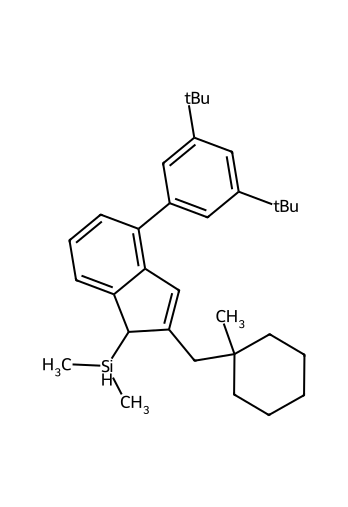 C[SiH](C)C1C(CC2(C)CCCCC2)=Cc2c(-c3cc(C(C)(C)C)cc(C(C)(C)C)c3)cccc21